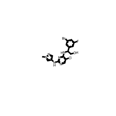 Cn1cc(Nc2ncc(Cl)c(NC(CO)c3cc(F)cc(Br)c3)n2)cn1